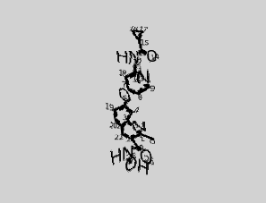 Cc1nc2cc(Oc3ccnc(NC(=O)C4CC4)c3)ccc2cc1C(=O)NO